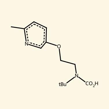 Cc1ccc(OCCN(C(=O)O)C(C)(C)C)cn1